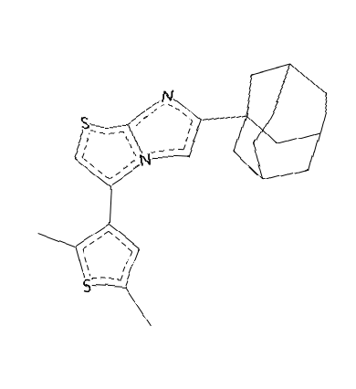 Cc1cc(-c2csc3nc(C45CC6CC(CC(C6)C4)C5)cn23)c(C)s1